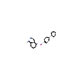 Cc1nccc2c(NC(=O)c3ccc(-c4ccccc4)cc3)cccc12